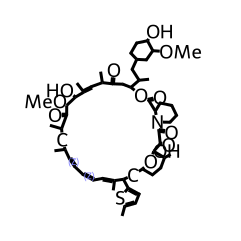 COC1CC(CC(C)C2CC(=O)C(C)C=C(C)C(O)C(OC)C(=O)C(C)CC(C)/C=C\C=C/C=C(C)C(c3ccc(C)s3)CC3CCC(C)C(O)(O3)C(=O)C(=O)N3CCCCC3C(=O)O2)CCC1O